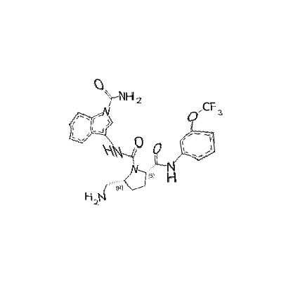 NC[C@H]1CC[C@@H](C(=O)Nc2cccc(OC(F)(F)F)c2)N1C(=O)Nc1cn(C(N)=O)c2ccccc12